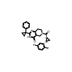 O=C([C@H]1C[C@@H]1c1cc(F)ccc1F)N1CCc2nc(C3(c4ccccc4)CC3)[nH]c(=O)c2C1